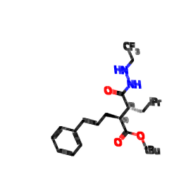 CC(C)C[C@@H](C(=O)NNCC(F)(F)F)[C@H](CC=Cc1ccccc1)C(=O)OC(C)(C)C